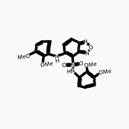 COc1cccc(Nc2ccc3nonc3c2S(=O)(=O)Nc2cccc(OC)c2OC)c1OC